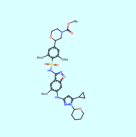 COc1cc2c(NS(=O)(=O)c3c(OC)cc(C4CN(C(=O)OC(C)(C)C)CCO4)cc3OC)noc2cc1Nc1cc(C2CC2)n(C2CCCCO2)n1